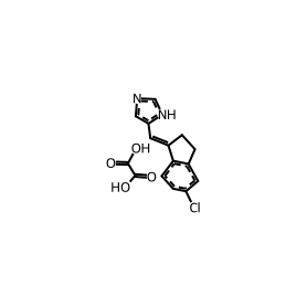 Clc1ccc2c(c1)CCC2=Cc1cnc[nH]1.O=C(O)C(=O)O